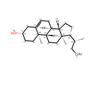 CC(=O)OC[C@@H](C)[C@H]1CC[C@H]2[C@@H]3CC=C4C[C@@H](O)CC[C@]4(C)[C@H]3CC[C@]12C